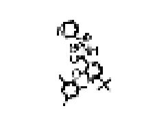 Cc1cc(C)c(Oc2nc(C(C)(C)C)ccc2C(=O)NS(=O)(=O)c2cccnc2)c(C)c1